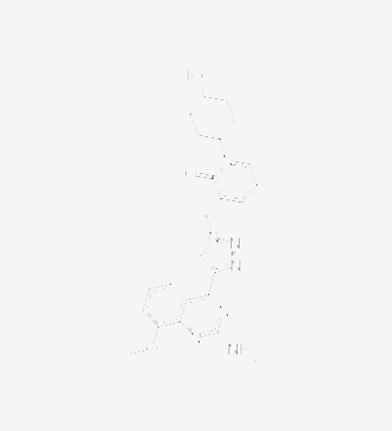 COc1cccc2c(-c3cn(Cc4cccn(C5CCC(O)CC5)c4=O)nn3)nc(N)nc12